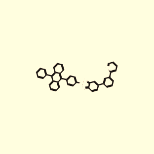 c1ccc(-c2c3ccccc3c(-c3ccc(-n4nc5ccc(-c6cccc(-c7ccccn7)c6)cc5n4)cc3)c3ccccc23)cc1